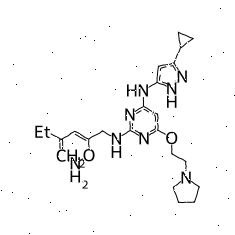 C=C(/C=C(/CNc1nc(Nc2cc(C3CC3)n[nH]2)cc(OCCN2CCCC2)n1)ON)CC